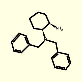 N[C@@H]1CCCC[C@@H]1N(Cc1ccccc1)Cc1ccccc1